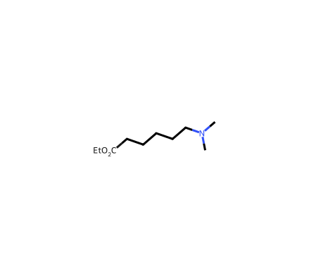 CCOC(=O)CCCCCN(C)C